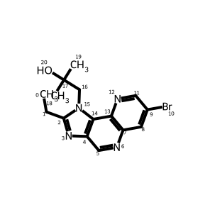 CCc1nc2cnc3cc(Br)cnc3c2n1CC(C)(C)O